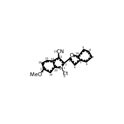 CCn1c(-c2cc3ccccc3o2)c(C#N)c2ccc(OC)cc21